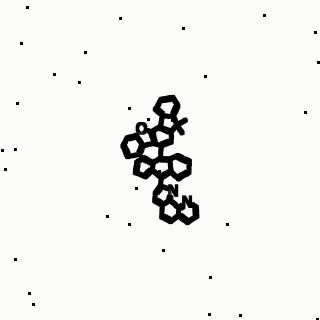 CC1(C)c2ccccc2-c2c1cc(-c1c3ccccc3c(-c3ccc4ccc5cccnc5c4n3)c3ccccc13)c1c2oc2ccccc21